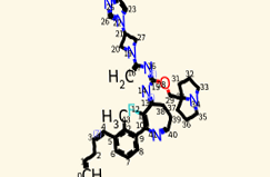 C=CC/C=C\c1cccc(C2=C(F)/C(=N/C(=N\C(=C)N3CC(n4ccnc4)C3)OCC34CCCN3CCC4)CCC=N2)c1C